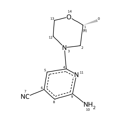 C[C@@H]1CN(c2cc(C#N)cc(N)n2)CCO1